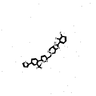 Fc1cccc(-c2nc3c([nH]2)C=NN(Cc2ccc(-c4ccc(-c5cccs5)cc4C(F)(F)F)nn2)C3)c1F